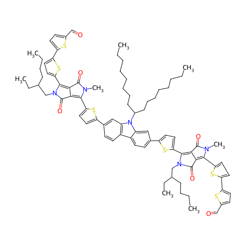 CCCCCCCCC(CCCCCCCC)n1c2cc(-c3ccc(C4=C5C(=O)N(CC(CC)CCCC)C(c6ccc(-c7ccc(C=O)s7)s6)=C5C(=O)N4C)s3)ccc2c2ccc(-c3ccc(C4=C5C(=O)N(C)C(c6ccc(-c7ccc(C=O)s7)s6)=C5C(=O)N4CC(CC)CCCC)s3)cc21